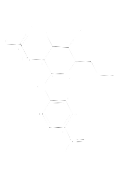 COCC1OC(Oc2ccc([N+](=O)[O-])cc2)C(NC(C)=O)C(O)C1O